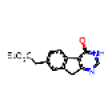 CCOC(=O)Cc1ccc2c(c1)Cc1nc[nH]c(=O)c1-2